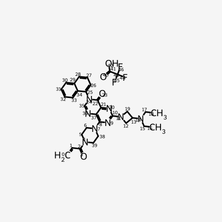 C=CC(=O)N1CCN(c2nc(N3CC(N(CC)CC)C3)nc3c(=O)n(-c4cccc5ccccc45)cnc23)CC1.O=C(O)C(F)(F)F